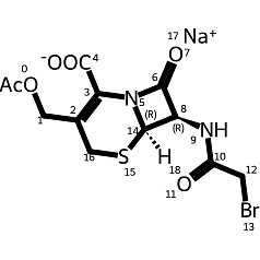 CC(=O)OCC1=C(C(=O)[O-])N2C(=O)[C@@H](NC(=O)CBr)[C@H]2SC1.[Na+]